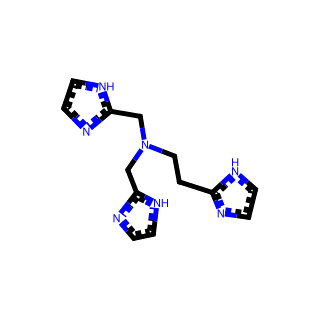 c1c[nH]c(CCN(Cc2ncc[nH]2)Cc2ncc[nH]2)n1